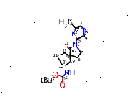 Cc1cncc(N2CCC3(CCCC(NC(=O)OC(C)(C)C)C3)C2=O)n1